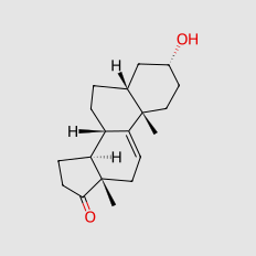 C[C@]12CC[C@@H](O)C[C@H]1CC[C@@H]1C2=CC[C@]2(C)C(=O)CC[C@@H]12